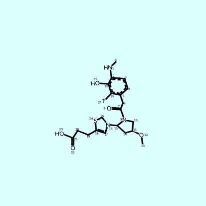 CNc1ccc(CC(=O)N2C[C@@H](OC)CC2N2C=C(CCC(=O)O)SC2)c(F)c1O